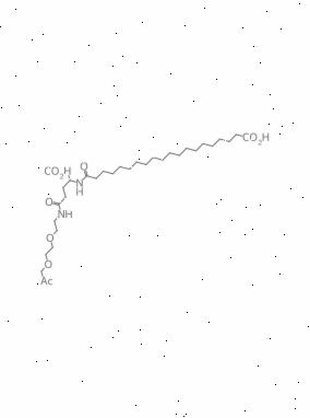 CC(=O)COCCOCCNC(=O)CCC(NC(=O)CCCCCCCCCCCCCCCCCCC(=O)O)C(=O)O